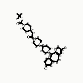 CC(C)(C)OC(=O)N1CCC(CC(=O)N2CCN(C3CCN(C4c5ccc(Cl)cc5CCc5cc(Br)cnc54)CC3)CC2)CC1